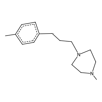 Cc1ccc([CH]CCN2CCN(C)CC2)cc1